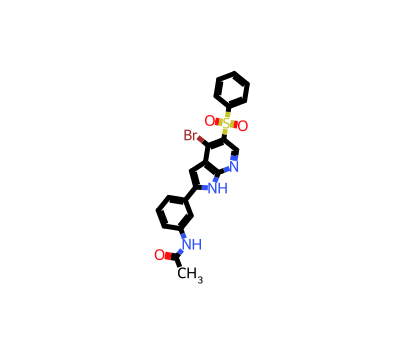 CC(=O)Nc1cccc(-c2cc3c(Br)c(S(=O)(=O)c4ccccc4)cnc3[nH]2)c1